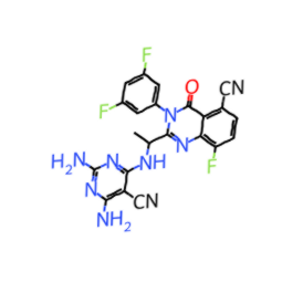 CC(Nc1nc(N)nc(N)c1C#N)c1nc2c(F)ccc(C#N)c2c(=O)n1-c1cc(F)cc(F)c1